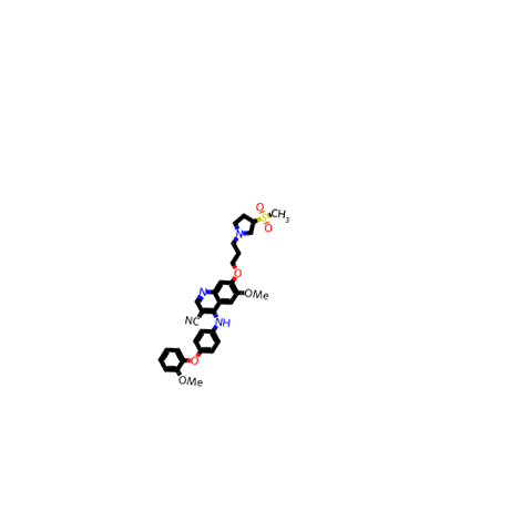 COc1cc2c(Nc3ccc(Oc4ccccc4OC)cc3)c(C#N)cnc2cc1OCCCN1CCC(S(C)(=O)=O)C1